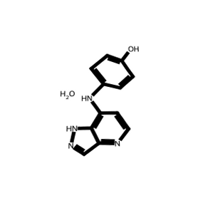 O.Oc1ccc(Nc2ccnc3cn[nH]c23)cc1